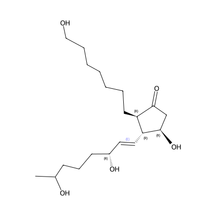 CC(O)CCC[C@@H](O)/C=C/[C@H]1[C@H](O)CC(=O)[C@@H]1CCCCCCCO